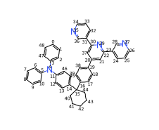 c1ccc(N(c2ccccc2)c2ccc(C3(c4ccc(-c5cc(-c6cccnc6)nc(-c6cccnc6)c5)cc4)CCCCC3)cc2)cc1